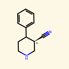 N#C[C@H]1CNCCC1c1ccccc1